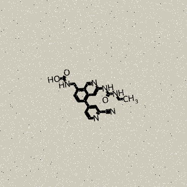 CCNC(=O)Nc1cc2c(-c3ccnc(C#N)c3)ccc(CNC(=O)O)c2cn1